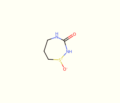 O=C1NCCC[S+]([O-])N1